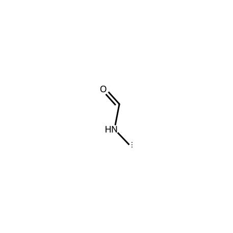 [C]NC=O